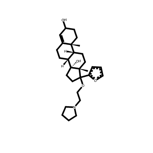 C[C@]12CCC(O)C=C1CC[C@@H]1[C@H]2CC[C@]2(C)C(OCCN3CCCC3)(c3ccco3)CC[C@@]12O